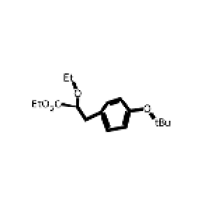 CCOC(=O)[C@H](Cc1ccc(OC(C)(C)C)cc1)OCC